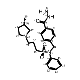 NNC(=O)c1ccc(CN(c2ccccc2)S(=O)(=O)CCCN2CC[C@@H](F)C2)cc1